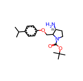 CC(C)c1ccc(OCC2[C@@H](N)CCN2C(=O)OC(C)(C)C)cc1